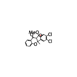 COC(=O)C1C(=O)c2ccccc2OC1(C)c1ccc(Cl)c(Cl)c1